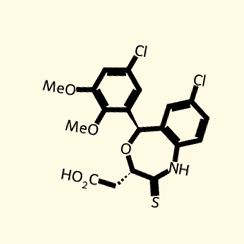 COc1cc(Cl)cc([C@@H]2O[C@@H](CC(=O)O)C(=S)Nc3ccc(Cl)cc32)c1OC